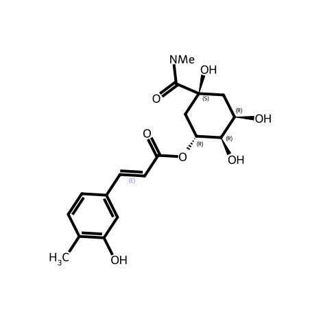 CNC(=O)[C@]1(O)C[C@@H](O)[C@@H](O)[C@H](OC(=O)/C=C/c2ccc(C)c(O)c2)C1